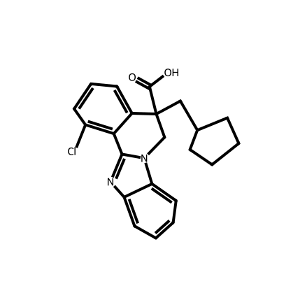 O=C(O)C1(CC2CCCC2)Cn2c(nc3ccccc32)-c2c(Cl)cccc21